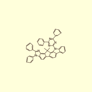 CC1(C)c2c(ccc3c2nc(-c2ccccc2)n3-c2ccccc2)-c2ccc3c4ccccc4n(-c4nc(-c5ccccc5)nc(-c5ccccc5)n4)c3c21